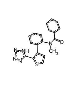 CN(C(=O)c1ccccc1)c1ccccc1-c1ccsc1-c1nnn[nH]1